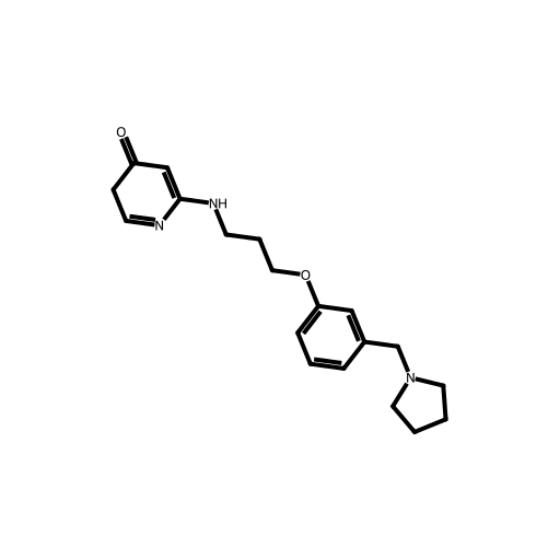 O=C1C=C(NCCCOc2cccc(CN3CCCC3)c2)N=CC1